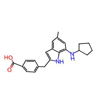 Cc1cc(NC2CCCC2)c2[nH]c(Cc3ccc(C(=O)O)cc3)cc2c1